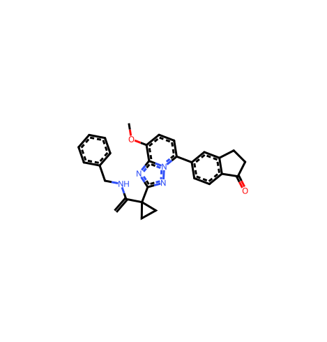 C=C(NCc1ccccc1)C1(c2nc3c(OC)ccc(-c4ccc5c(c4)CCC5=O)n3n2)CC1